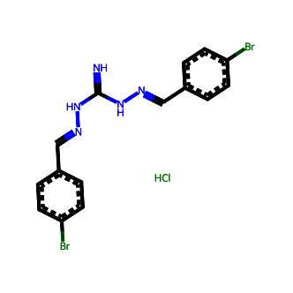 Cl.N=C(N/N=C/c1ccc(Br)cc1)N/N=C/c1ccc(Br)cc1